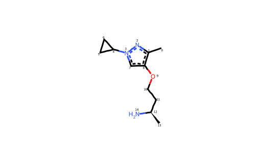 Cc1nn(C2CC2)cc1OCC[C@@H](C)N